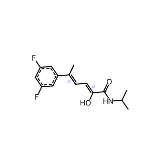 C/C(=C\C=C(/O)C(=O)NC(C)C)c1cc(F)cc(F)c1